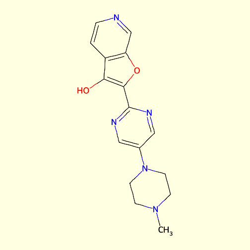 CN1CCN(c2cnc(-c3oc4cnccc4c3O)nc2)CC1